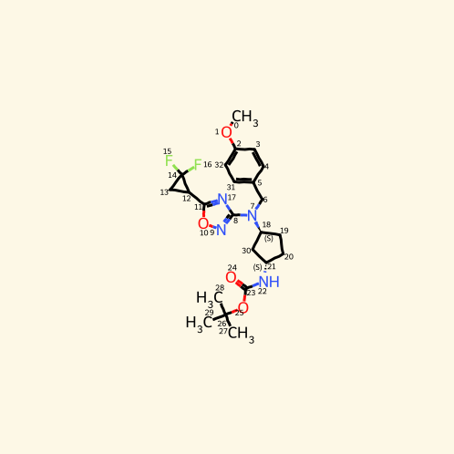 COc1ccc(CN(c2noc(C3CC3(F)F)n2)[C@H]2CC[C@H](NC(=O)OC(C)(C)C)C2)cc1